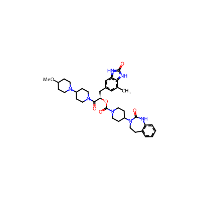 COC1CCN(C2CCN(C(=O)[C@@H](Cc3cc(C)c4[nH]c(=O)[nH]c4c3)OC(=O)N3CCC(N4CCc5ccccc5NC4=O)CC3)CC2)CC1